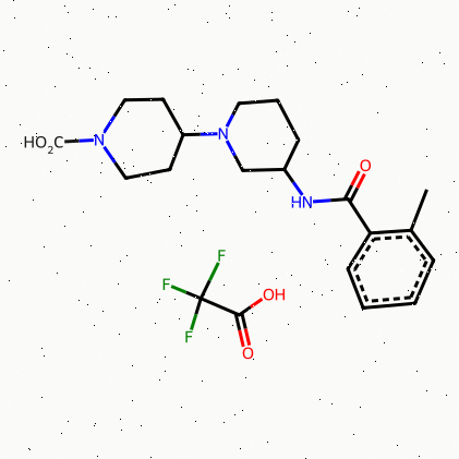 Cc1ccccc1C(=O)NC1CCCN(C2CCN(C(=O)O)CC2)C1.O=C(O)C(F)(F)F